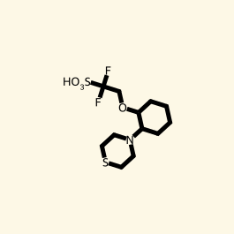 O=S(=O)(O)C(F)(F)COC1CCCCC1N1CCSCC1